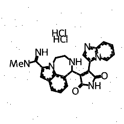 CNC(=N)c1cc2cccc3c2n1CCNC3C1=C(c2cnc3ccccn23)C(=O)NC1=O.Cl.Cl